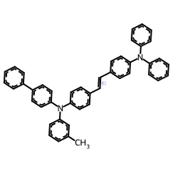 Cc1cccc(N(c2ccc(/C=C/c3ccc(N(c4ccccc4)c4ccccc4)cc3)cc2)c2ccc(-c3ccccc3)cc2)c1